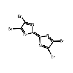 BrC1=NC(=C2N=C(Br)C(Br)=N2)N=C1Br